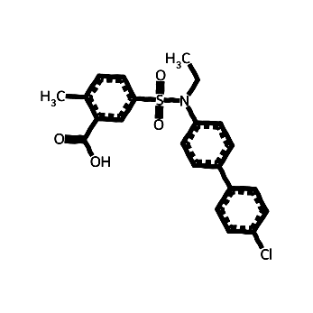 CCN(c1ccc(-c2ccc(Cl)cc2)cc1)S(=O)(=O)c1ccc(C)c(C(=O)O)c1